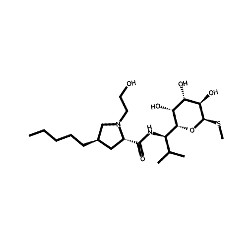 CCCCC[C@@H]1C[C@@H](C(=O)N[C@H](C(C)C)[C@H]2O[C@H](SC)[C@H](O)[C@@H](O)[C@H]2O)N(CCO)C1